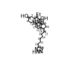 CC[C@@H]1C2C[C@H](O)CCC2(C)[C@H]2CCC3(C)C([C@H](C)CCCCCc4nn[nH]n4)CC[C@H]3[C@@H]2[C@@H]1O